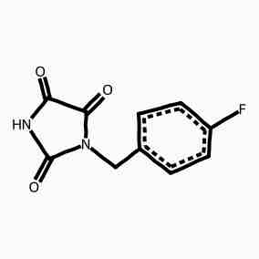 O=C1NC(=O)N(Cc2ccc(F)cc2)C1=O